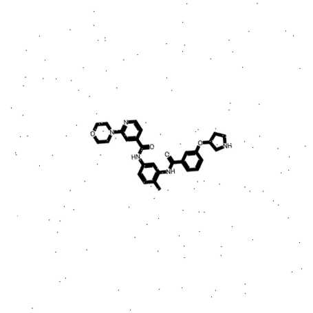 Cc1ccc(NC(=O)c2ccnc(N3CCOCC3)c2)cc1NC(=O)c1cccc(OC2CCNC2)c1